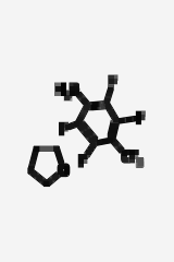 Bc1c(F)c(F)c(C(F)(F)F)c(F)c1F.C1CCOC1